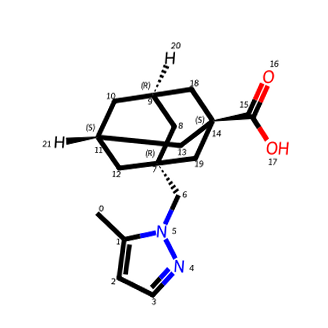 Cc1ccnn1C[C@@]12C[C@H]3C[C@@H](C1)C[C@](C(=O)O)(C3)C2